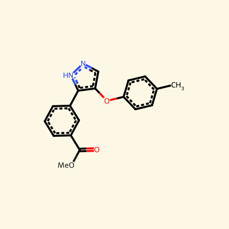 COC(=O)c1cccc(-c2[nH]ncc2Oc2ccc(C)cc2)c1